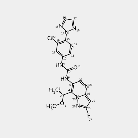 CO[C@@H](C)c1c(NC(=O)Nc2cnc(-n3nccn3)c(Cl)c2)cnc2cc(F)nn12